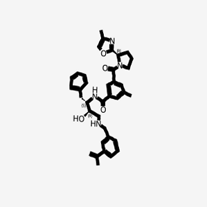 C=C(C)c1cccc(CNC[C@@H](O)[C@H](Cc2ccccc2)NC(=O)c2cc(C)cc(C(=O)N3CCC[C@@H]3c3nc(C)co3)c2)c1